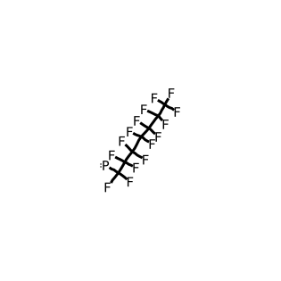 FC(F)(F)C(F)(F)C(F)(F)C(F)(F)C(F)(F)C(F)(F)C(F)(F)[P]